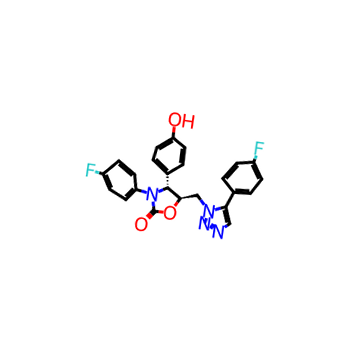 O=C1O[C@H](Cn2nncc2-c2ccc(F)cc2)[C@@H](c2ccc(O)cc2)N1c1ccc(F)cc1